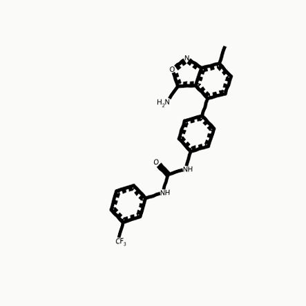 Cc1ccc(-c2ccc(NC(=O)Nc3cccc(C(F)(F)F)c3)cc2)c2c(N)onc12